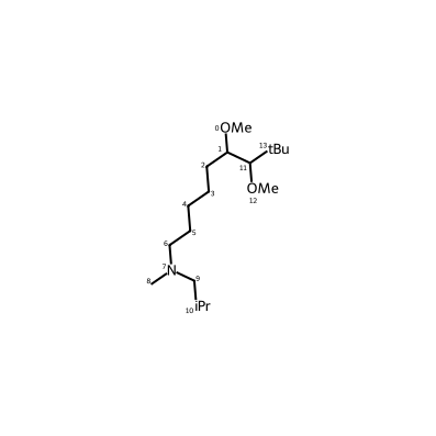 COC(CCCCCN(C)CC(C)C)C(OC)C(C)(C)C